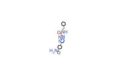 NC1(c2ccc(-c3ccn4nc(C(=O)NCCc5ccccc5)nc4n3)cc2)CCC1